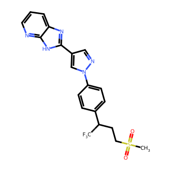 CS(=O)(=O)CCC(c1ccc(-n2cc(-c3nc4cccnc4[nH]3)cn2)cc1)C(F)(F)F